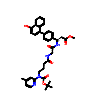 COC(=O)C[C@H](NC(=O)CNC(=O)CCCN(C(=O)OC(C)(C)C)c1cc(C)ccn1)c1ccc(-c2ccc(O)c3ccccc23)cc1